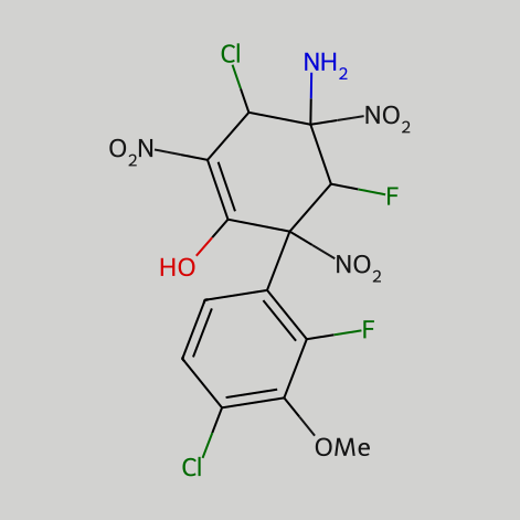 COc1c(Cl)ccc(C2([N+](=O)[O-])C(O)=C([N+](=O)[O-])C(Cl)C(N)([N+](=O)[O-])C2F)c1F